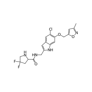 Cc1cc(COc2cc3[nH]c(CNC(=O)C4CC(F)(F)CN4)cc3cc2Cl)on1